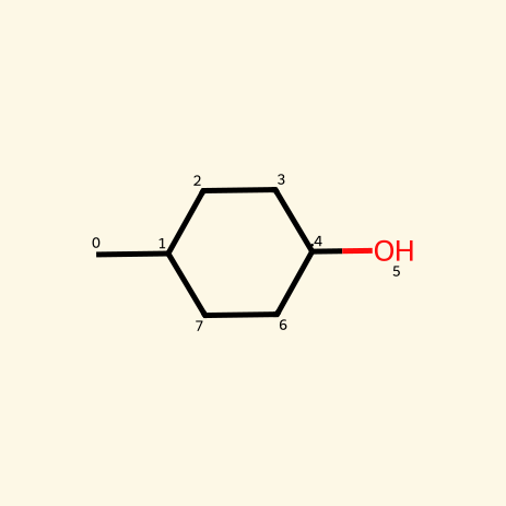 CC1CC[C](O)CC1